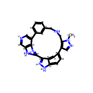 Cn1ncc2c1CNCc1cccc(c1)-c1cncc3[nH]c(nc13)-c1n[nH]c3ccc-2cc13